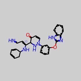 N=C/C=C(\NC1C=CC=CC1)C1NN(c2cccc(Oc3nc4ccccc4[nH]3)c2)C=CC1=O